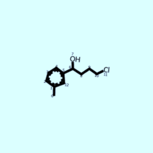 Cc1cccc(C(O)CCCCl)c1